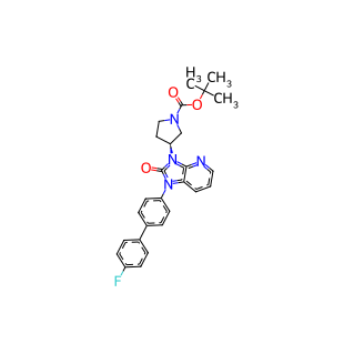 CC(C)(C)OC(=O)N1CC[C@H](n2c(=O)n(-c3ccc(-c4ccc(F)cc4)cc3)c3cccnc32)C1